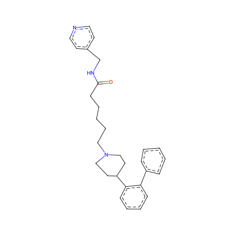 O=C(CCCCCN1CCC(c2ccccc2-c2ccccc2)CC1)NCc1ccncc1